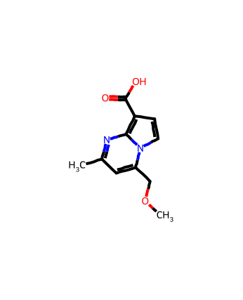 COCc1cc(C)nc2c(C(=O)O)ccn12